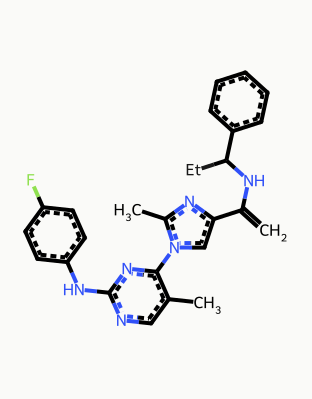 C=C(NC(CC)c1ccccc1)c1cn(-c2nc(Nc3ccc(F)cc3)ncc2C)c(C)n1